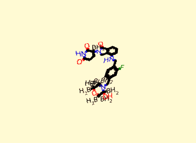 BC1(N2Cc3c(NCc4ccc(CN5C(B)(B)C(B)(B)OC(B)(B)C5(B)O)cc4F)cccc3C2=O)CCC(=O)NC1=O